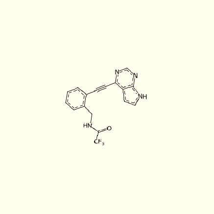 O=C(NCc1ccccc1C#Cc1ncnc2[nH]ccc12)C(F)(F)F